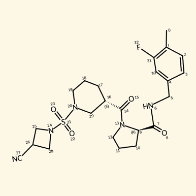 Cc1ccc(CNC(=O)[C@H]2CCCN2C(=O)[C@H]2CCCN(S(=O)(=O)N3CC(C#N)C3)C2)cc1F